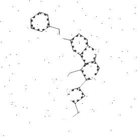 COCc1c(-c2cc(CO)on2)ncc2[nH]c3ccc(OCc4ccccc4)cc3c12